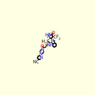 CC(NCCC(=O)N1CCN(c2ccc(C#N)cn2)CC1)[C@@H]1c2ccccc2CN1c1cn[nH]c(=O)c1C(F)(F)F